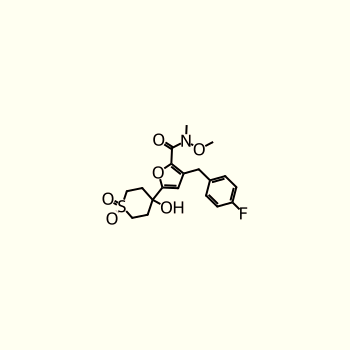 CON(C)C(=O)c1oc(C2(O)CCS(=O)(=O)CC2)cc1Cc1ccc(F)cc1